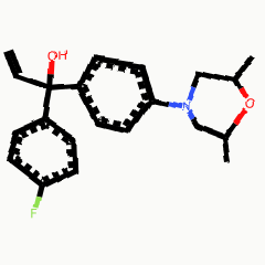 C=CC(O)(c1ccc(F)cc1)c1ccc(N2CC(C)OC(C)C2)cc1